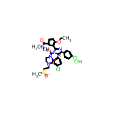 CCOc1ccc(C(=O)N(C)C)cc1C1=N[C@@H](c2ccc(Cl)cc2)[C@@H](c2ccc(Cl)cc2)N1C(=O)N1CCN(CC[S+](C)[O-])CC1.Cl